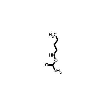 CCCCNOC(N)=O